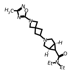 CCN(CC)C(=O)C1[C@H]2CN(C3CC4(C3)CN(c3nc(C)no3)C4)C[C@@H]12